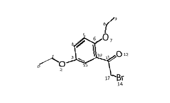 CCOc1ccc(OCC)c(C(=O)CBr)c1